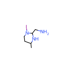 CC1CCN(I)C(CN)N1